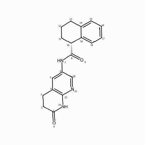 O=C1CCc2cc(NC(=O)[C@@H]3CCCc4ccccc43)cnc2N1